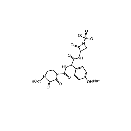 CCCCCCCCN1CCN(C(=O)NC(C(=O)NC2CN(S(=O)(=O)[O-])C2=O)c2ccc(O)cc2)C(=O)C1=O.[Na+]